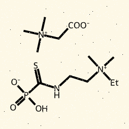 CC[N+](C)(C)CCNC(=S)P(=O)([O-])O.C[N+](C)(C)CC(=O)[O-]